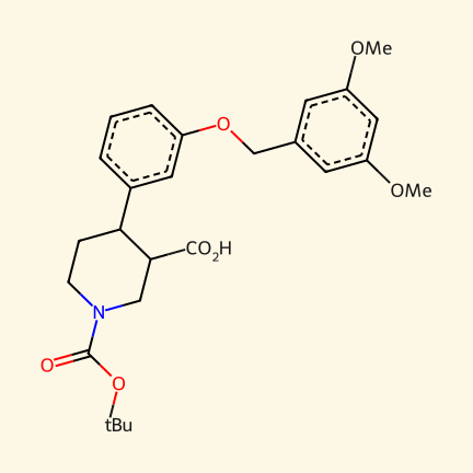 COc1cc(COc2cccc(C3CCN(C(=O)OC(C)(C)C)CC3C(=O)O)c2)cc(OC)c1